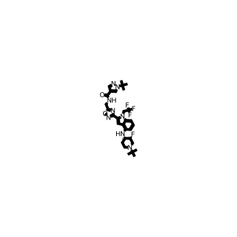 CC(C)(C)N1CC[C@H](Nc2cccc3c2cc(-c2noc(CNC(=O)c4cnn(C(C)(C)C)c4)n2)n3CC(F)(F)F)[C@@H](F)C1